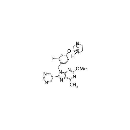 COc1nc(C)c2nc(-c3cncnc3)n(Cc3ccc(O[C@@H]4CN5CCC4CC5)cc3F)c2n1